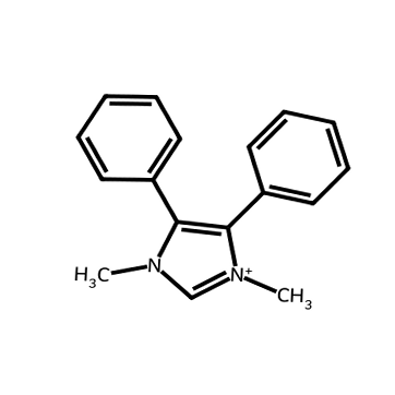 Cn1c[n+](C)c(-c2ccccc2)c1-c1ccccc1